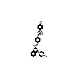 CC(=O)N1CCN(c2nc(NC[C@H]3CC[C@H](CNS(=O)(=O)c4ccc(Cl)cc4)CC3)nc3ccccc23)CC1